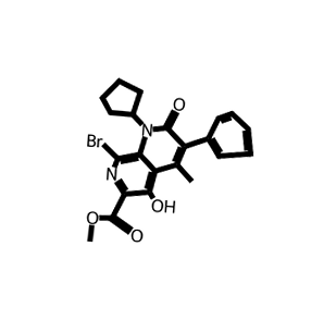 COC(=O)c1nc(Br)c2c(c(C)c(-c3ccccc3)c(=O)n2C2CCCC2)c1O